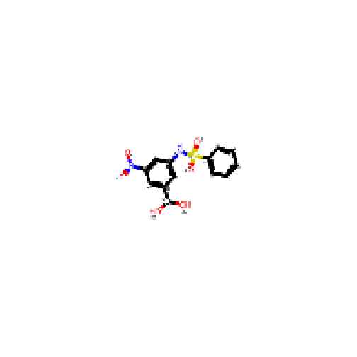 O=[N+]([O-])c1cc(NS(=O)(=O)c2ccccc2)cc(B(O)O)c1